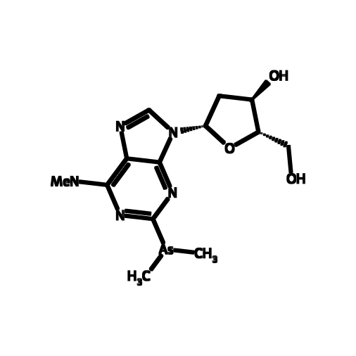 CNc1nc([As](C)C)nc2c1ncn2[C@@H]1C[C@@H](O)[C@H](CO)O1